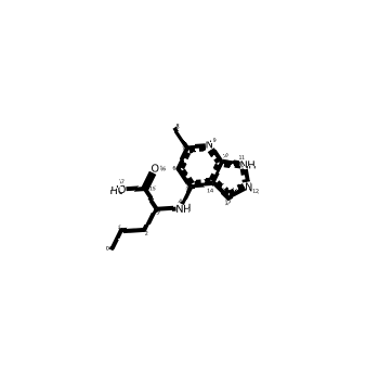 CCCC(Nc1cc(C)nc2[nH]ncc12)C(=O)O